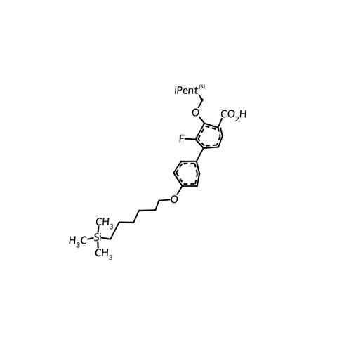 CCC[C@H](C)COc1c(C(=O)O)ccc(-c2ccc(OCCCCCC[Si](C)(C)C)cc2)c1F